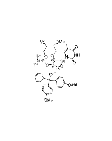 COCCO[C@@H]1[C@H](OP(OCCC#N)N(C(C)C)C(C)C)[C@@H](COC(c2ccccc2)(c2ccc(OC)cc2)c2ccc(OC)cc2)O[C@H]1n1cc(C)c(=O)[nH]c1=O